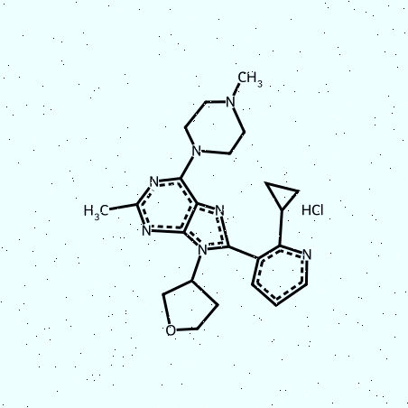 Cc1nc(N2CCN(C)CC2)c2nc(-c3cccnc3C3CC3)n(C3CCOC3)c2n1.Cl